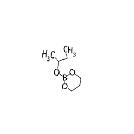 CCC(C)OB1OCCCO1